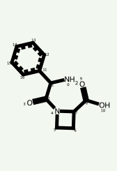 NC(C(=O)N1CCC1C(=O)O)c1ccccc1